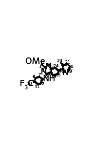 COCc1nc(Nc2ccc(C(F)(F)F)cc2)c2ccc(-c3ncccc3C)cc2n1